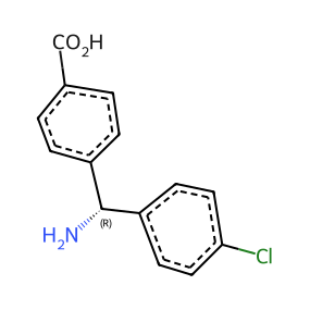 N[C@@H](c1ccc(Cl)cc1)c1ccc(C(=O)O)cc1